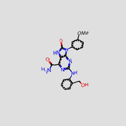 COc1cccc(-n2c(=O)[nH]c3c(C(N)=O)nc(Nc4ccccc4CO)nc32)c1